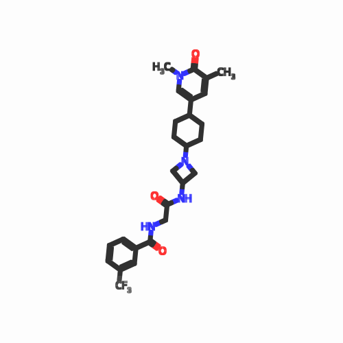 Cc1cc(C2CCC(N3CC(NC(=O)CNC(=O)c4cccc(C(F)(F)F)c4)C3)CC2)cn(C)c1=O